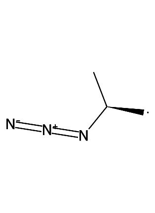 [CH2][C@H](C)N=[N+]=[N-]